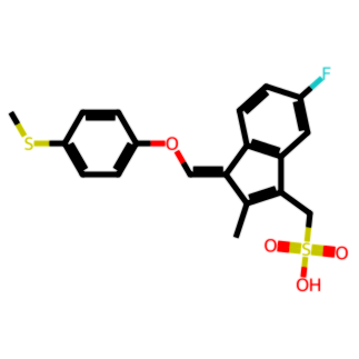 CSc1ccc(O/C=C2/C(C)=C(CS(=O)(=O)O)c3cc(F)ccc32)cc1